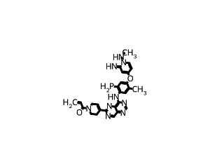 C=CC(=O)N1CC=C(c2ncc3ncnc(Nc4cc(C)c(Oc5ccn(NC)c(=N)c5)cc4P)c3n2)CC1